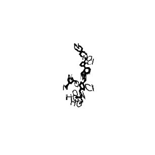 CN1CCC2(CC1)CCN(C(=O)c1cccc(-c3cccc4c3cnn4Cc3cc(OCc4cncc(C#N)c4)c(CN(C)C(CO)C(=O)O)cc3Cl)c1Cl)CC2